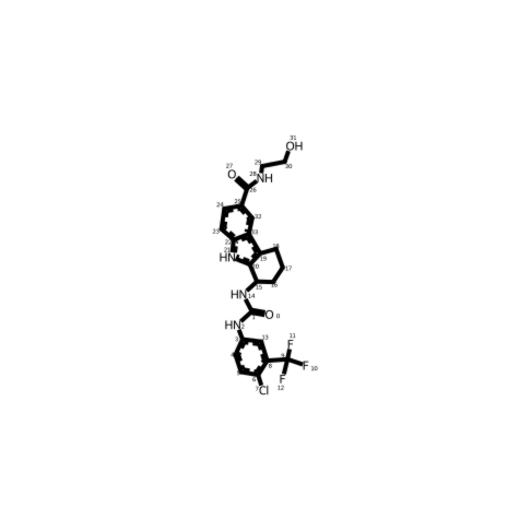 O=C(Nc1ccc(Cl)c(C(F)(F)F)c1)NC1CCCc2c1[nH]c1ccc(C(=O)NCCO)cc21